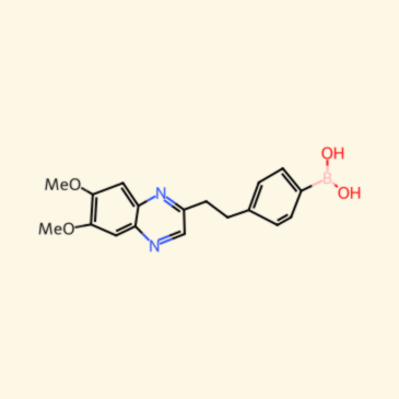 COc1cc2ncc(CCc3ccc(B(O)O)cc3)nc2cc1OC